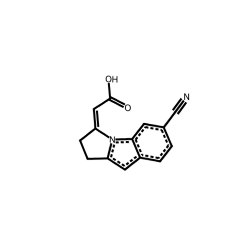 N#Cc1ccc2cc3n(c2c1)C(=CC(=O)O)CC3